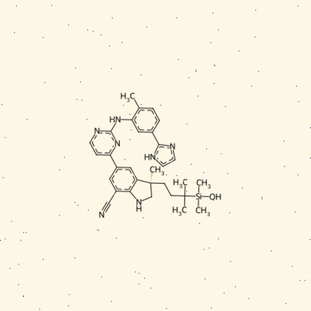 Cc1ccc(-c2ncc[nH]2)cc1Nc1nccc(-c2cc(C#N)c3c(c2)[C@@](C)(CCC(C)(C)[Si](C)(C)O)CN3)n1